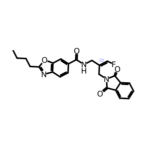 CCCCc1nc2ccc(C(=O)NC/C(=C/F)CN3C(=O)c4ccccc4C3=O)cc2o1